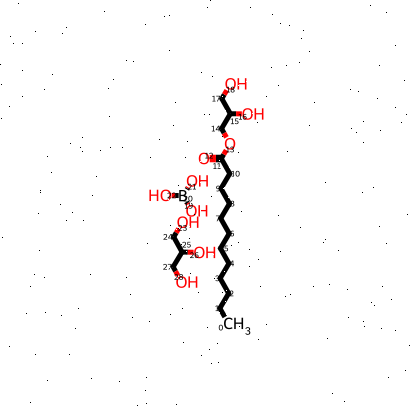 CCCCCCCCCCCC(=O)OCC(O)CO.OB(O)O.OCC(O)CO